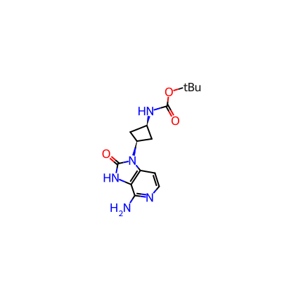 CC(C)(C)OC(=O)N[C@H]1C[C@@H](n2c(=O)[nH]c3c(N)nccc32)C1